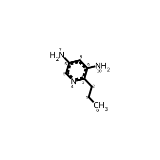 CCCc1ncc(N)cc1N